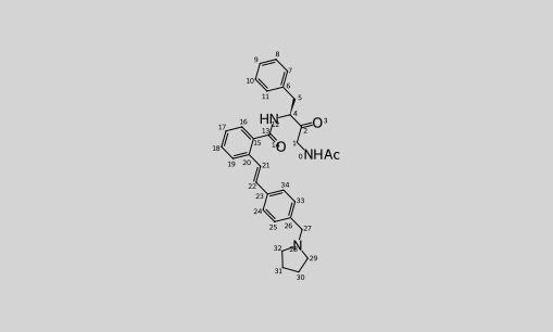 CC(=O)NCC(=O)[C@H](Cc1ccccc1)NC(=O)c1ccccc1C=Cc1ccc(CN2CCCC2)cc1